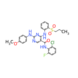 CCCS(=O)(=O)c1ccccc1Nc1nc(Nc2ccc(OC)cc2)ncc1C(=O)Nc1c(F)cccc1Cl